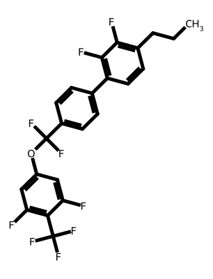 CCCc1ccc(-c2ccc(C(F)(F)Oc3cc(F)c(C(F)(F)F)c(F)c3)cc2)c(F)c1F